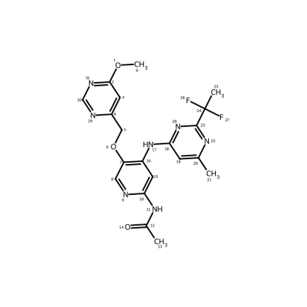 COc1cc(COc2cnc(NC(C)=O)cc2Nc2cc(C)nc(C(C)(F)F)n2)ncn1